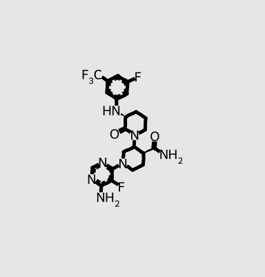 NC(=O)[C@H]1CCN(c2ncnc(N)c2F)CC1N1CCC[C@@H](Nc2cc(F)cc(C(F)(F)F)c2)C1=O